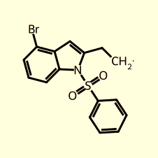 [CH2]Cc1cc2c(Br)cccc2n1S(=O)(=O)c1ccccc1